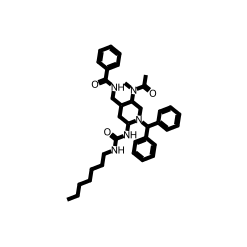 CCCCCCCNC(=O)NC1CC(CNC(=O)c2ccccc2)C(N(C)C(C)=O)CN1C(c1ccccc1)c1ccccc1